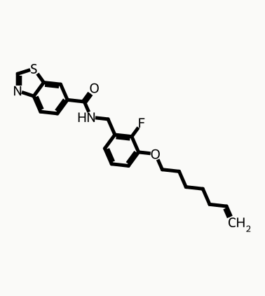 C=CCCCCCOc1cccc(CNC(=O)c2ccc3ncsc3c2)c1F